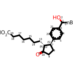 CCCCC(O)c1ccc([C@H]2CCC(=O)[C@@H]2CCCCCCC(=O)O)cc1